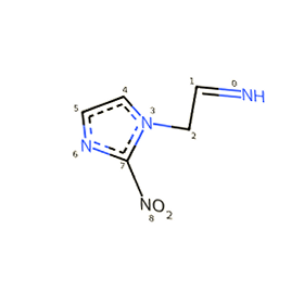 N=CCn1ccnc1[N+](=O)[O-]